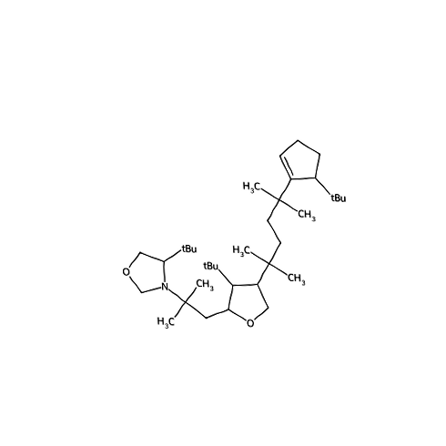 CC(C)(CCC(C)(C)C1COC(CC(C)(C)N2COCC2C(C)(C)C)C1C(C)(C)C)C1=CCCC1C(C)(C)C